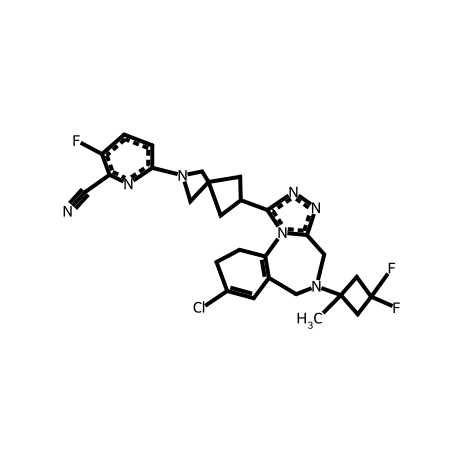 CC1(N2CC3=C(CCC(Cl)=C3)n3c(nnc3C3CC4(C3)CN(c3ccc(F)c(C#N)n3)C4)C2)CC(F)(F)C1